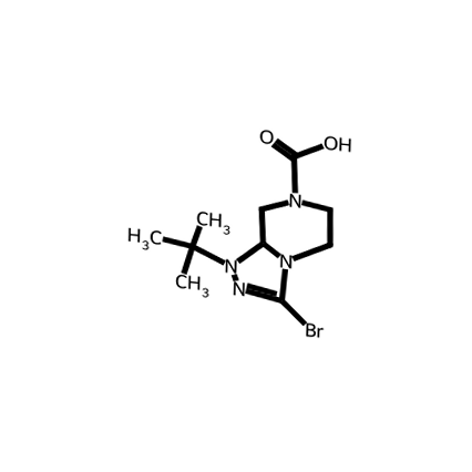 CC(C)(C)N1N=C(Br)N2CCN(C(=O)O)CC21